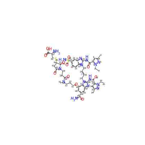 CCn1nc(C)cc1C(=O)Nc1nc2cc(S(N)(=O)=O)ccc2n1C/C=C/Cn1c(NC(=O)c2cc(C)nn2CC)nc2cc(C(N)=O)cc(OCCCN(C)C(=O)CCN3C(=O)CC(SCC(N)C(=O)O)C3=O)c21